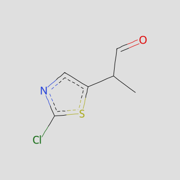 CC(C=O)c1cnc(Cl)s1